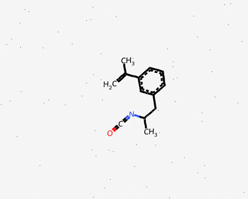 C=C(C)c1cccc(CC(C)N=C=O)c1